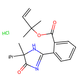 C=CC(C)(C)OC(=O)c1ccccc1C1=NC(=O)C(C)(C(C)C)N1.Cl